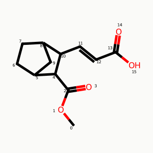 COC(=O)C1C2CCC(C2)C1C=CC(=O)O